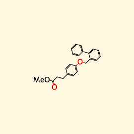 COC(=O)CCc1ccc(OCc2ccccc2-c2ccccc2)cc1